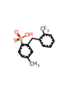 Cc1ccc(S(=O)(O)=S)c(Cc2ccccc2C(F)(F)F)c1